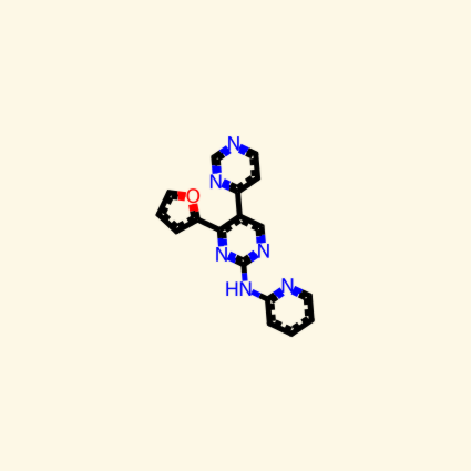 c1ccc(Nc2ncc(-c3ccncn3)c(-c3ccco3)n2)nc1